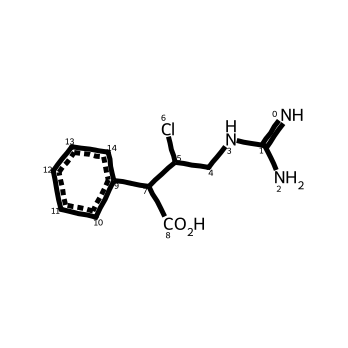 N=C(N)NCC(Cl)C(C(=O)O)c1ccccc1